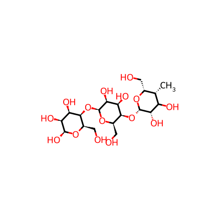 C[C@@H]1C(O)[C@H](O)[C@H](O[C@@H]2[C@H](O)[C@H](O)[C@H](O[C@@H]3[C@H](O)[C@H](O)[C@H](O)O[C@@H]3CO)O[C@@H]2CO)O[C@@H]1CO